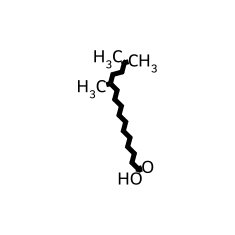 CC(C)CCC(C)CCCCCCCCCCC(=O)O